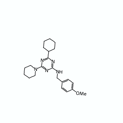 COc1ccc(CNc2nc(C3CCCCC3)nc(N3CCCCC3)n2)cc1